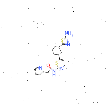 C=C(S/C(=N\C)NC(=O)Cc1ccccn1)[C@H]1CCCC(c2nnc(N)s2)C1